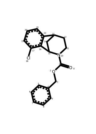 O=C(OCc1ccccc1)N1CCC2CC1c1c(Cl)cccc12